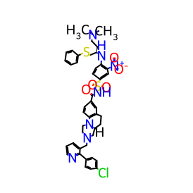 CN(C)CC[C@H](CSc1ccccc1)Nc1ccc(S(=O)(=O)NC(=O)c2ccc3c(c2)CC[C@H]2CN(Cc4cccnc4-c4ccc(Cl)cc4)CCN32)cc1[N+](=O)[O-]